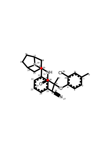 Cc1ccc(OC(C)(C)C(=O)NC2CC3CCC(C2)N3Cc2cccc(C#N)c2)c(Cl)c1